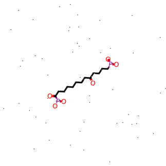 O=C(CCCCCCCC(=O)P(=O)=O)CCCCP(=O)=O